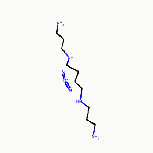 NCCCNCCCCNCCCN.[N-]=[N+]=[N-]